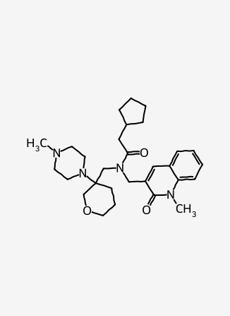 CN1CCN(C2(CN(Cc3cc4ccccc4n(C)c3=O)C(=O)CC3CCCC3)CCCOC2)CC1